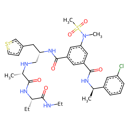 CCNC(=O)[C@H](CC)NC(=O)[C@H](C)NC[C@H](Cc1ccsc1)NC(=O)c1cc(C(=O)N[C@H](C)c2cccc(Cl)c2)cc(N(C)S(C)(=O)=O)c1